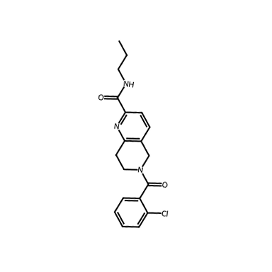 CCCNC(=O)c1ccc2c(n1)CCN(C(=O)c1ccccc1Cl)C2